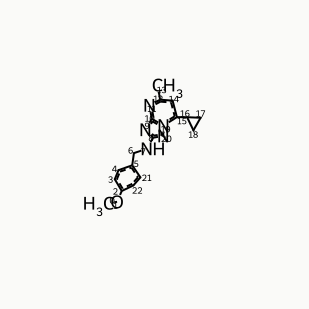 COc1ccc(CNc2nc3nc(C)cc(C4CC4)n3n2)cc1